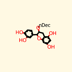 CCCCCCCCCCOC1Cc2c(O)cc(O)cc2OC1c1ccc(O)c(O)c1